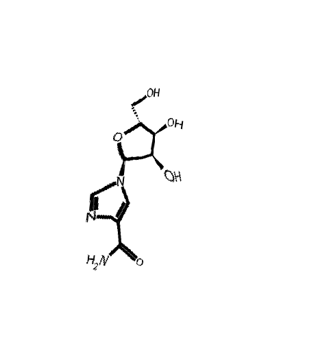 NC(=O)c1cn([C@H]2O[C@H](CO)[C@@H](O)[C@H]2O)cn1